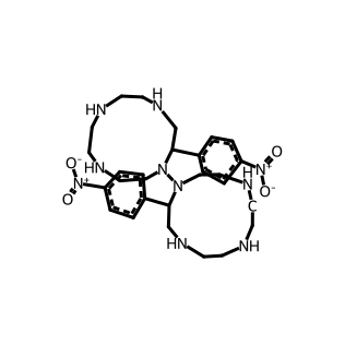 O=[N+]([O-])c1ccc(C2CNCCNCCNCCN2N2CCNCCNCCNCC2c2ccc([N+](=O)[O-])cc2)cc1